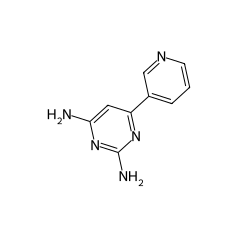 Nc1cc(-c2cccnc2)nc(N)n1